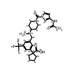 CC(=O)Nc1ccn(C(=O)N2CCC(N(C)Cc3cc(C(F)(F)F)cc(C4(C(=O)O)CCCC4)c3)CC2)n1